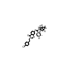 C[C@H]1[C@@H](NC(=Nc2ccc3c(=O)n(CCc4ccc(Cl)cc4)cnc3c2)N2CCN[C@@H](C)C2)C[C@@H]2C[C@@H]1C2(C)C